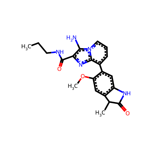 CCCNC(=O)c1nc2c(-c3cc4c(cc3OC)C(C)C(=O)N4)cccn2c1N